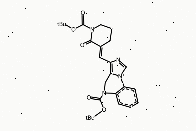 CC(C)(C)OC(=O)N1CCCC(=CC2=C3CN(C(=O)OC(C)(C)C)c4ccccc4[N+]3C=N2)C1=O